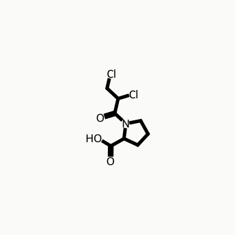 O=C(O)C1CCCN1C(=O)C(Cl)CCl